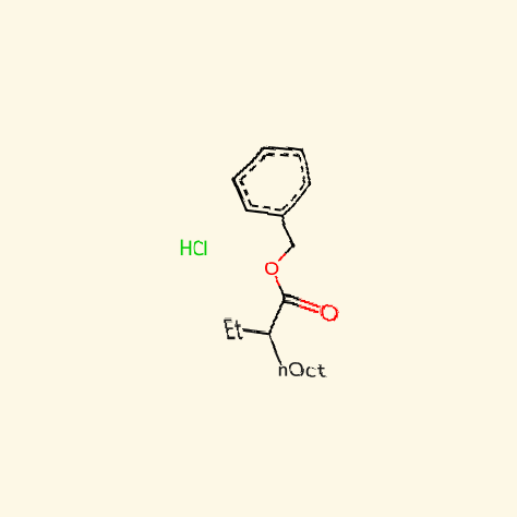 CCCCCCCCC(CC)C(=O)OCc1ccccc1.Cl